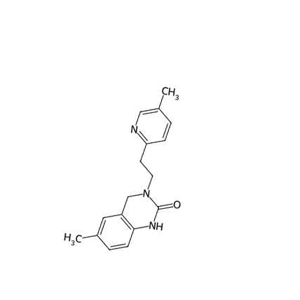 Cc1ccc(CCN2Cc3cc(C)ccc3NC2=O)nc1